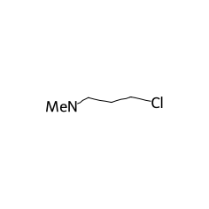 [CH2]NCCCCl